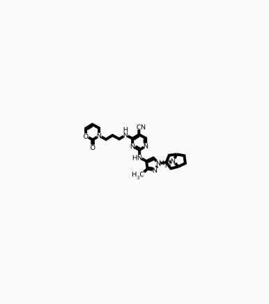 Cc1nn(C2CC3CCC(C2)N3C)cc1Nc1ncc(C#N)c(NCCCN2CC=COC2=O)n1